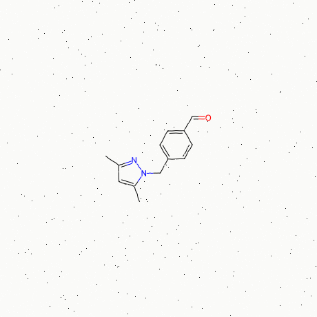 Cc1cc(C)n(Cc2ccc(C=O)cc2)n1